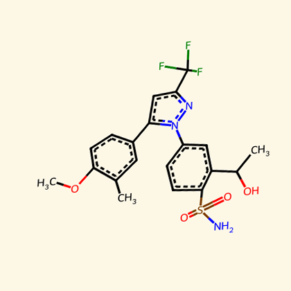 COc1ccc(-c2cc(C(F)(F)F)nn2-c2ccc(S(N)(=O)=O)c(C(C)O)c2)cc1C